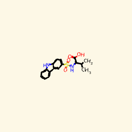 CC(C)C(NS(=O)(=O)c1ccc2[nH]c3ccccc3c2c1)C(=O)O